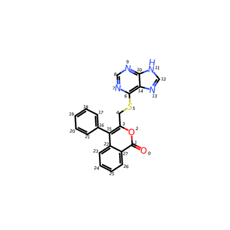 O=c1oc(CSc2ncnc3[nH]cnc23)c(-c2ccccc2)c2ccccc12